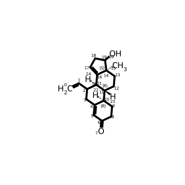 C=CC1CC2=CC(=O)CC[C@@H]2[C@H]2CC[C@@]3(C)C(=CCC3O)[C@H]12